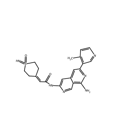 Cc1ccncc1-c1cc2cc(NC(=O)C=C3CCS(=N)(=O)CC3)ncc2c(N)n1